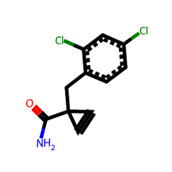 NC(=O)C1(Cc2ccc(Cl)cc2Cl)C#C1